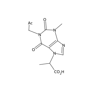 CC(=O)Cn1c(=O)c2c(ncn2C(C)C(=O)O)n(C)c1=O